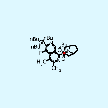 CCC[CH2][Sn]([CH2]CCC)([CH2]CCC)[c]1ncc2c(N3CC4CCC(C3)N4C(=O)OC(C)(C)C)nc(C)c(C)c2c1F